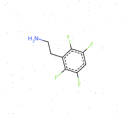 NCCc1c(F)c(F)cc(F)c1F